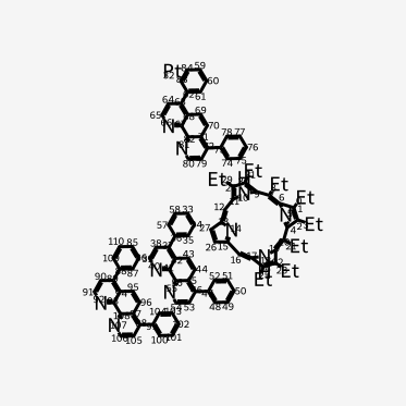 CCC1=C(CC)c2nc1c(CC)c1[nH]c(cc3nc(cc4[nH]c(c2CC)c(CC)c4CC)C=C3)c(CC)c1CC.[Pt].c1ccc(-c2ccnc3c2ccc2c(-c4ccccc4)ccnc23)cc1.c1ccc(-c2ccnc3c2ccc2c(-c4ccccc4)ccnc23)cc1.c1ccc(-c2ccnc3c2ccc2c(-c4ccccc4)ccnc23)cc1